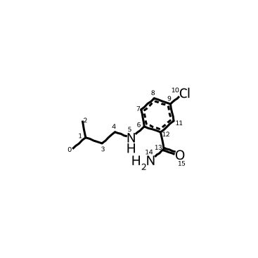 CC(C)CCNc1ccc(Cl)cc1C(N)=O